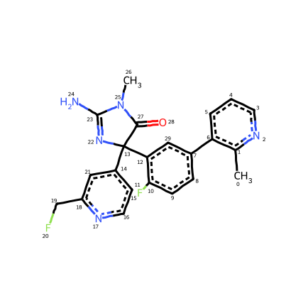 Cc1ncccc1-c1ccc(F)c(C2(c3ccnc(CF)c3)N=C(N)N(C)C2=O)c1